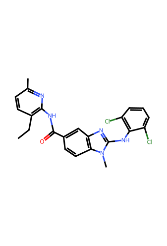 CCc1ccc(C)nc1NC(=O)c1ccc2c(c1)nc(Nc1c(Cl)cccc1Cl)n2C